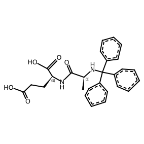 C[C@H](NC(c1ccccc1)(c1ccccc1)c1ccccc1)C(=O)N[C@@H](CCC(=O)O)C(=O)O